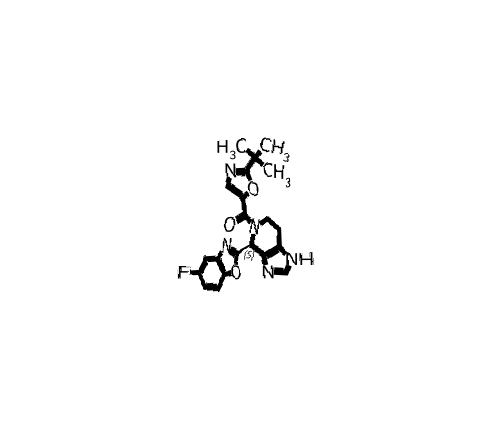 CC(C)(C)c1ncc(C(=O)N2CCc3[nH]cnc3[C@H]2c2nc3cc(F)ccc3o2)o1